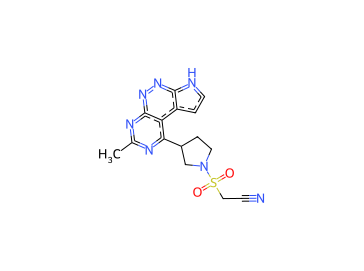 Cc1nc(C2CCN(S(=O)(=O)CC#N)C2)c2c(nnc3[nH]ccc32)n1